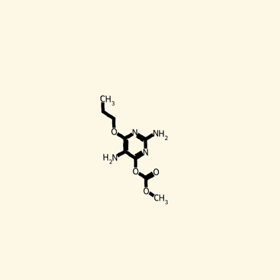 CCCOc1nc(N)nc(OC(=O)OC)c1N